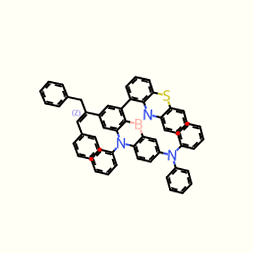 C(=C(\Cc1ccccc1)c1cc2c3c(c1)N(c1ccccc1)c1ccc(N(c4ccccc4)c4ccccc4)cc1B3N1c3ccccc3Sc3cccc-2c31)/c1ccccc1